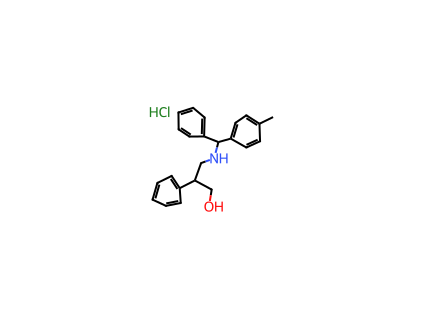 Cc1ccc(C(NCC(CO)c2ccccc2)c2ccccc2)cc1.Cl